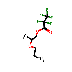 CCCOC(C)COC(=O)C(F)(F)C(F)(F)F